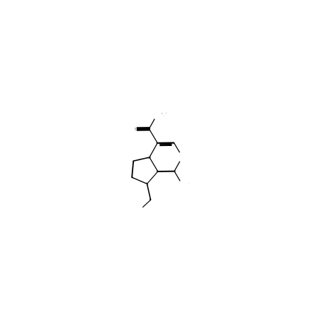 COC(=O)C1=COC(OC(C)=O)C2C(CO)CCC12